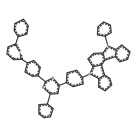 c1ccc(-c2cccc(-c3ccc(-c4nc(-c5ccccc5)cc(-c5ccc(-n6c7ccccc7c7c8c9ccccc9n(-c9ccccc9)c8ccc76)cc5)n4)cc3)c2)cc1